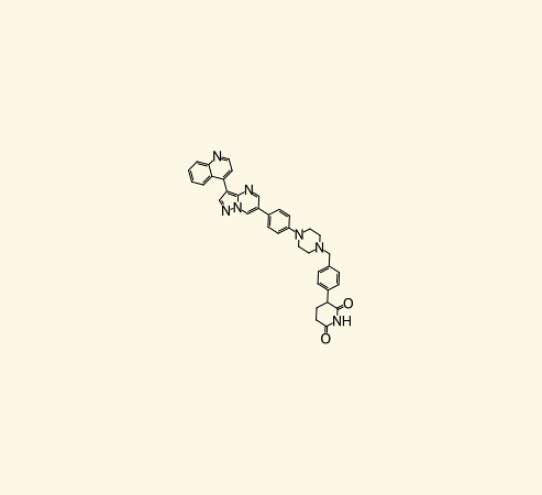 O=C1CCC(c2ccc(CN3CCN(c4ccc(-c5cnc6c(-c7ccnc8ccccc78)cnn6c5)cc4)CC3)cc2)C(=O)N1